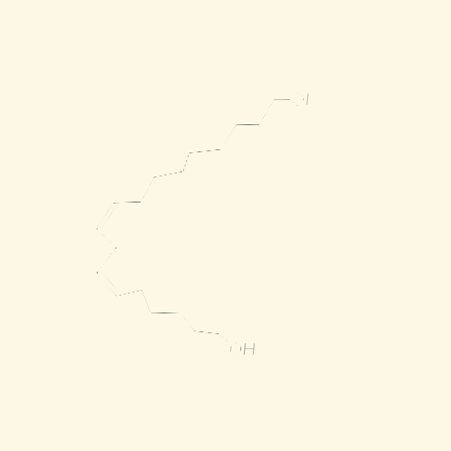 OCCCCC/C=C\C/C=C\CCCCCCCCO